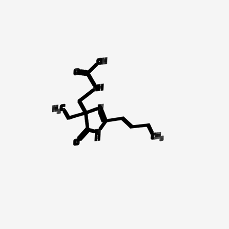 CCCCC1=NC(CC)(CNC(=O)O)C(=O)N1